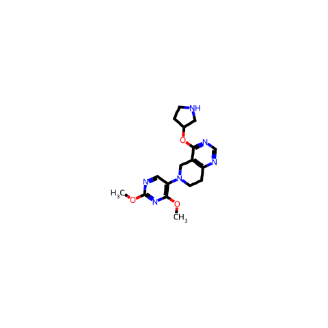 COc1ncc(N2CCc3ncnc(OC4CCNC4)c3C2)c(OC)n1